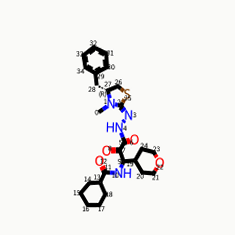 CN1C(=NNC(=O)C(=O)C(NC(=O)C2CCCCC2)C2CCOCC2)SC[C@H]1Cc1ccccc1